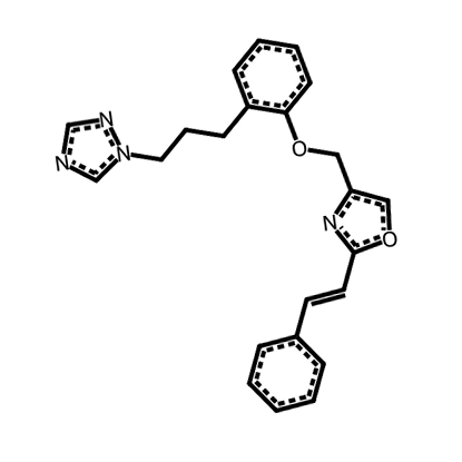 C(=Cc1nc(COc2ccccc2CCCn2cncn2)co1)c1ccccc1